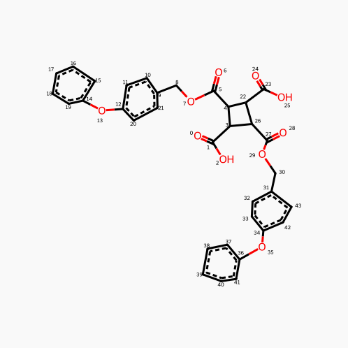 O=C(O)C1C(C(=O)OCc2ccc(Oc3ccccc3)cc2)C(C(=O)O)C1C(=O)OCc1ccc(Oc2ccccc2)cc1